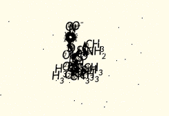 CCC(SC1=C(C(=O)OCc2ccc([N+](=O)[O-])cc2)N2C(=O)C(C(C)(O[SiH](C)C)C(C)(C)C)[C@H]2S1)C(N)=O